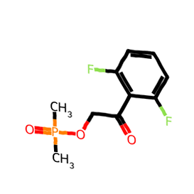 CP(C)(=O)OCC(=O)c1c(F)cccc1F